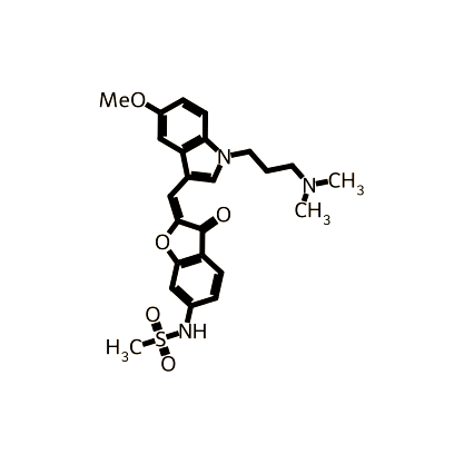 COc1ccc2c(c1)c(C=C1Oc3cc(NS(C)(=O)=O)ccc3C1=O)cn2CCCN(C)C